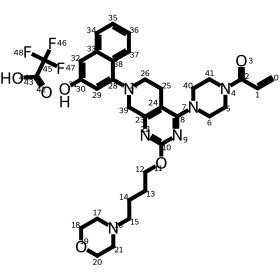 C=CC(=O)N1CCN(c2nc(OCCCCN3CCOCC3)nc3c2CCN(c2cc(O)cc4ccccc24)C3)CC1.O=C(O)C(F)(F)F